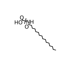 CCCCCCCCCCCCCCCC(=O)NC(C)(C)C(=O)O